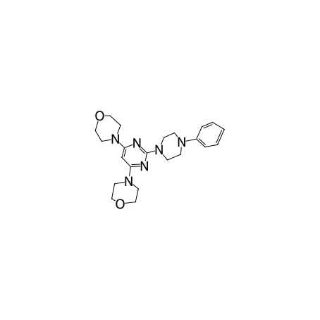 c1ccc(N2CCN(c3nc(N4CCOCC4)cc(N4CCOCC4)n3)CC2)cc1